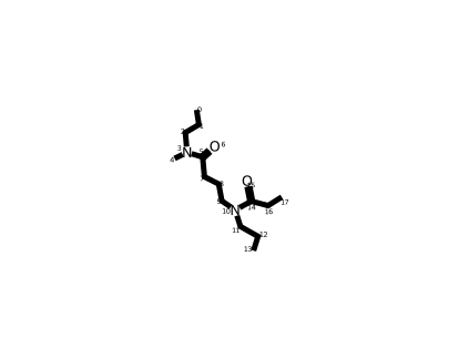 CCCN(C)C(=O)CCCN(CCC)C(=O)CC